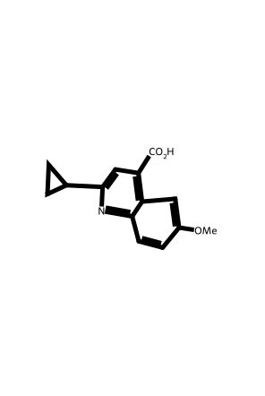 COc1ccc2nc(C3CC3)cc(C(=O)O)c2c1